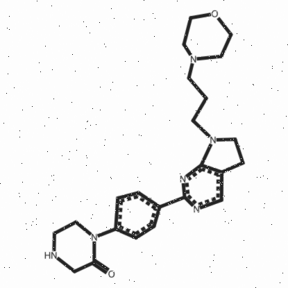 O=C1CNCCN1c1ccc(-c2ncc3c(n2)N(CCCN2CCOCC2)CC3)cc1